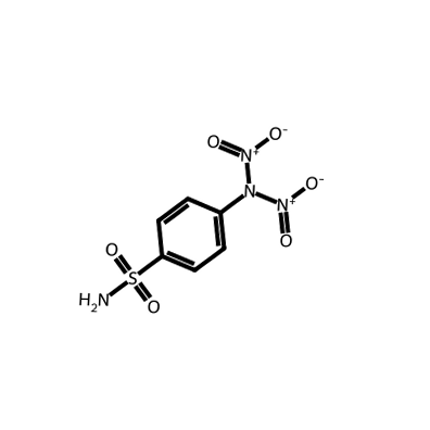 NS(=O)(=O)c1ccc(N([N+](=O)[O-])[N+](=O)[O-])cc1